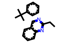 CC(C)(C)c1ccccc1.CCc1ncc2ccccc2n1